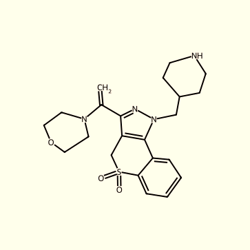 C=C(c1nn(CC2CCNCC2)c2c1CS(=O)(=O)c1ccccc1-2)N1CCOCC1